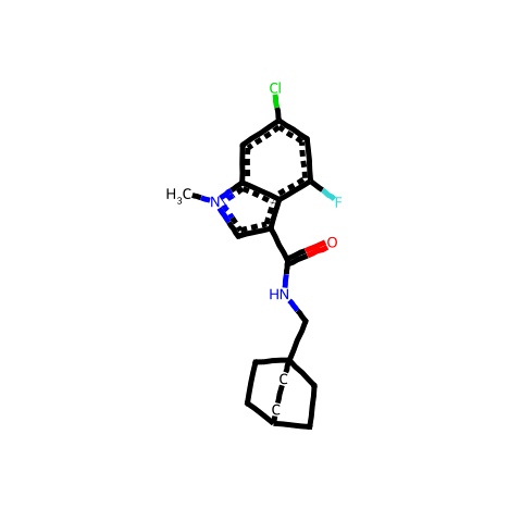 Cn1cc(C(=O)NCC23CCC(CC2)CC3)c2c(F)cc(Cl)cc21